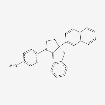 COc1ccc(N2CC[C@@](Cc3ccccc3)(C3=CC4C=CC=CC4C=C3)C2=O)cc1